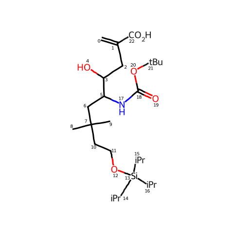 C=C(CC(O)C(CC(C)(C)CCO[Si](C(C)C)(C(C)C)C(C)C)NC(=O)OC(C)(C)C)C(=O)O